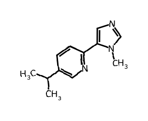 CC(C)c1ccc(-c2cncn2C)nc1